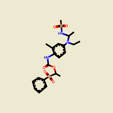 CCN(c1ccc(NC(=O)OC(C)S(=O)(=O)c2ccccc2)c(C)c1)C(C)NS(C)(=O)=O